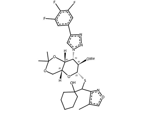 CO[C@@H]1[C@@H](n2cc(-c3cc(F)c(F)c(F)c3)nn2)[C@H]2OC(C)(C)OC[C@H]2O[C@H]1SC(c1nocc1C)C1(O)CCCCC1